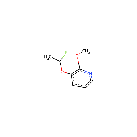 COc1ncccc1OC(C)F